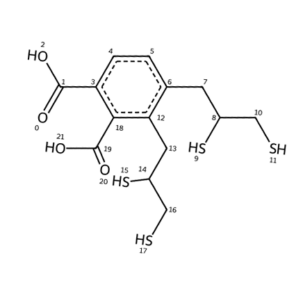 O=C(O)c1ccc(CC(S)CS)c(CC(S)CS)c1C(=O)O